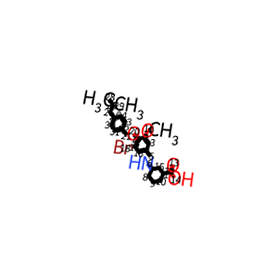 COc1cc(CNC2CCCC(C(=O)O)C2)cc(Br)c1OCc1ccc(CC(C)C)cc1